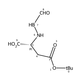 CC(C)(C)OC(=O)C[C@@H](NBC=O)C(=O)O